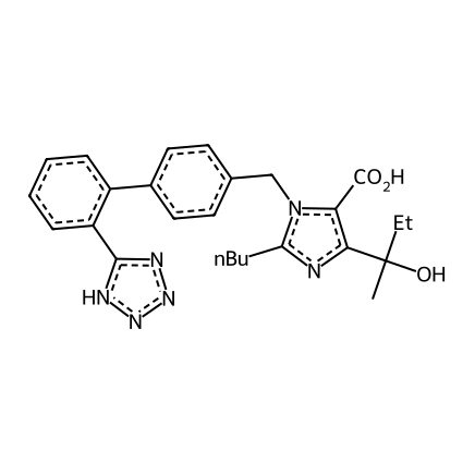 CCCCc1nc(C(C)(O)CC)c(C(=O)O)n1Cc1ccc(-c2ccccc2-c2nnn[nH]2)cc1